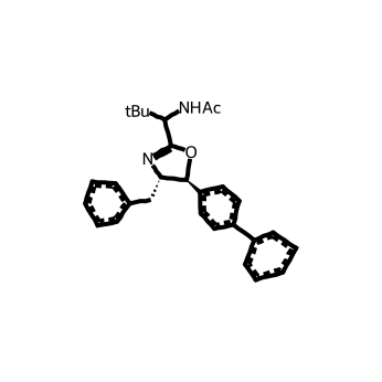 CC(=O)NC(C1=N[C@@H](Cc2ccccc2)[C@H](c2ccc(-c3ccccc3)cc2)O1)C(C)(C)C